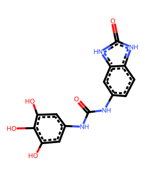 O=C(Nc1cc(O)c(O)c(O)c1)Nc1ccc2[nH]c(=O)[nH]c2c1